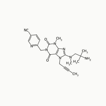 CC#CCn1c(N(C)CC(C)(C)N)nc2c1c(=O)n(Cc1ccc(C#N)cn1)c(=O)n2C